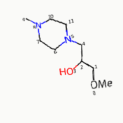 COCC(O)CN1CCN(C)CC1